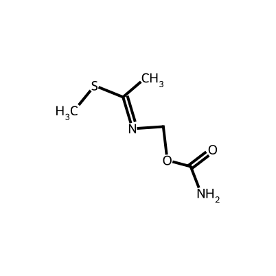 CSC(C)=NCOC(N)=O